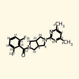 Cc1cc(C)nc(N2CC3CN(C(=O)c4c(F)cccc4F)CC3C2)n1